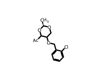 CC(=O)C1O[C@@H](C)OCC1OCc1ccccc1Cl